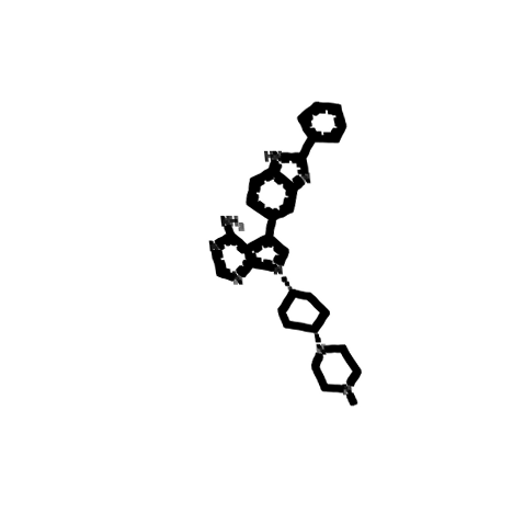 CN1CCN([C@H]2CC[C@@H](n3cc(-c4ccc5[nH]c(-c6ccccc6)nc5c4)c4c(N)ncnc43)CC2)CC1